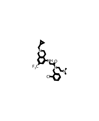 CN(C)CCN(Cc1ccccc1Cl)C(=O)CNc1cc(C(F)(F)F)cc2c1CCN(CC1CC1)C2